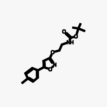 Cc1ccc(-c2cc(OCCNC(=O)OC(C)(C)C)no2)cc1